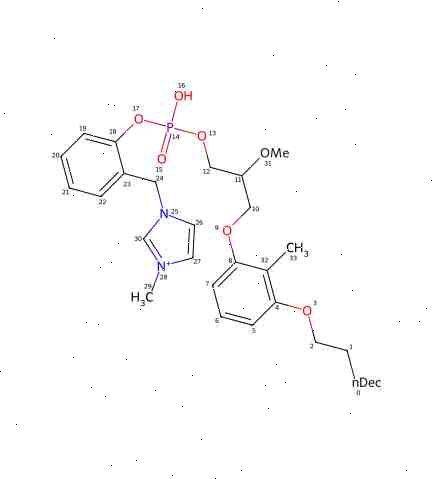 CCCCCCCCCCCCOc1cccc(OCC(COP(=O)(O)Oc2ccccc2Cn2cc[n+](C)c2)OC)c1C